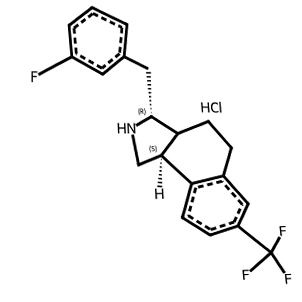 Cl.Fc1cccc(C[C@H]2NC[C@@H]3c4ccc(C(F)(F)F)cc4CCC32)c1